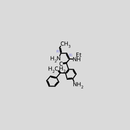 C=C(/C(=C\C(N)=C/C)NCC)c1ccc(N)cc1C(=C)c1ccccc1